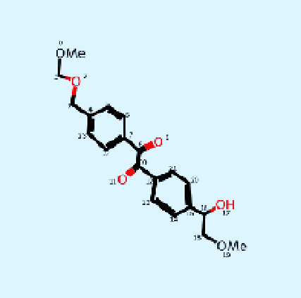 COCOCc1ccc(C(=O)C(=O)c2ccc(C(O)COC)cc2)cc1